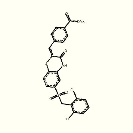 COC(=O)c1ccc(/C=C2/Sc3ccc(S(=O)(=O)Cc4c(Cl)cccc4Cl)cc3NC2=O)cc1